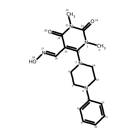 Cn1c(N2CCN(c3ccccc3)CC2)c(C=NO)c(=O)n(C)c1=O